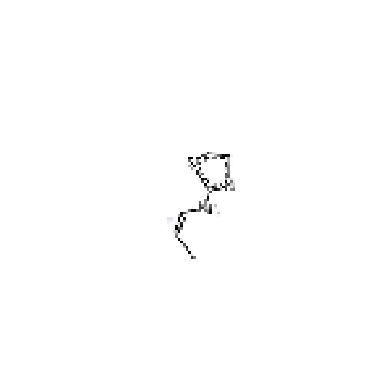 C/C=C\Nc1nccs1